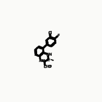 CNc1cccc(-c2ccc(F)c(Cl)c2)c1N[C@H](C)CC=O